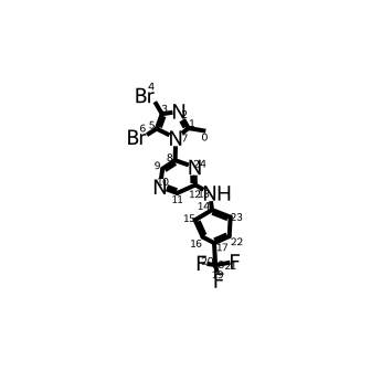 Cc1nc(Br)c(Br)n1-c1cncc(Nc2ccc(C(F)(F)F)cc2)n1